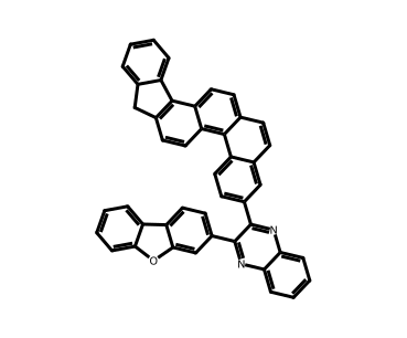 c1ccc2c(c1)Cc1ccc3c(ccc4ccc5cc(-c6nc7ccccc7nc6-c6ccc7c(c6)oc6ccccc67)ccc5c43)c1-2